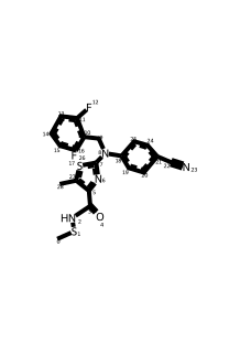 CSNC(=O)c1nc(N(Cc2c(F)cccc2F)c2ccc(C#N)cc2)sc1C